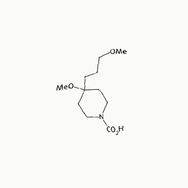 COCCCC1(OC)CCN(C(=O)O)CC1